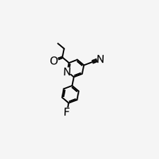 CCC(=O)c1cc(C#N)cc(-c2ccc(F)cc2)n1